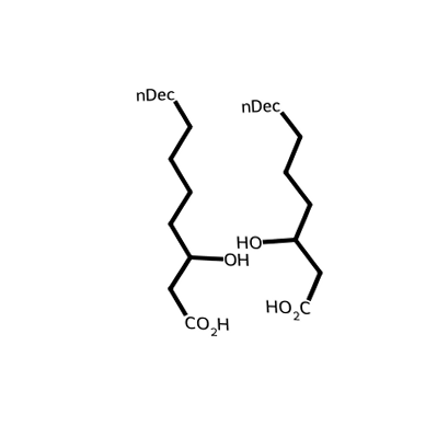 CCCCCCCCCCCCCC(O)CC(=O)O.CCCCCCCCCCCCCCC(O)CC(=O)O